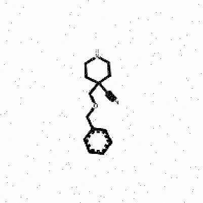 N#CC1(COCc2ccccc2)CCNCC1